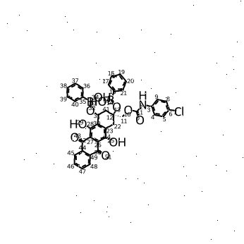 O=C(Nc1ccc(Cl)cc1)OC[C@]1(OB(O)c2ccccc2)Cc2c(O)c3c(c(O)c2[C@@H](OB(O)c2ccccc2)C1)C(=O)c1ccccc1C3=O